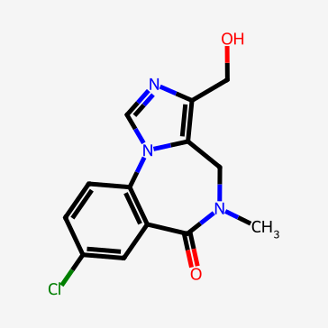 CN1Cc2c(CO)ncn2-c2ccc(Cl)cc2C1=O